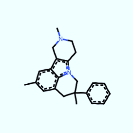 Cc1cc2c3c(c1)c1c(n3CC(C)(c3ccccc3)C2)CCN(C)C1